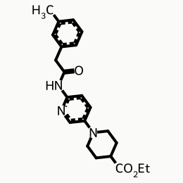 CCOC(=O)C1CCN(c2ccc(NC(=O)Cc3cccc(C)c3)nc2)CC1